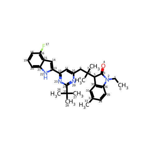 CCN1C(=O)C(C(C)(C)Cc2cc(-c3cc4c(F)cccc4[nH]3)nc(C(C)(C)C)n2)c2cc(C)ccc21